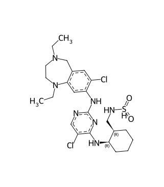 CCN1CCN(CC)c2cc(Nc3ncc(Cl)c(N[C@@H]4CCCC[C@@H]4CN[SH](=O)=O)n3)c(Cl)cc2C1